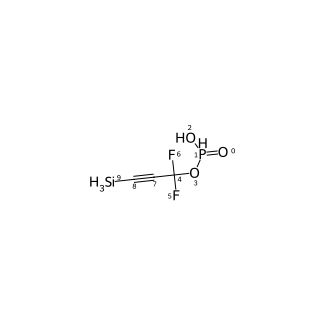 O=[PH](O)OC(F)(F)C#C[SiH3]